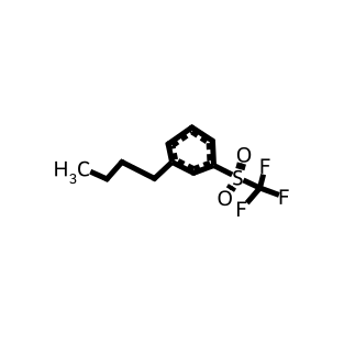 CCCCc1cccc(S(=O)(=O)C(F)(F)F)c1